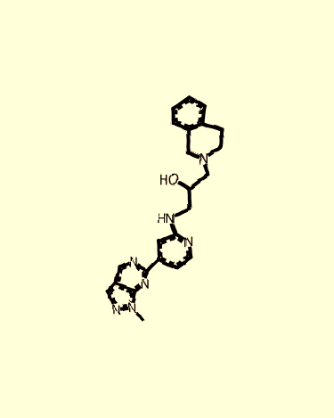 Cn1ncc2cnc(-c3ccnc(NCC(O)CN4CCc5ccccc5C4)c3)nc21